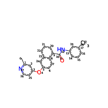 Cc1cc(Oc2ccc3c(C(=O)Nc4cccc(C(F)(F)F)c4)cccc3c2)ccn1